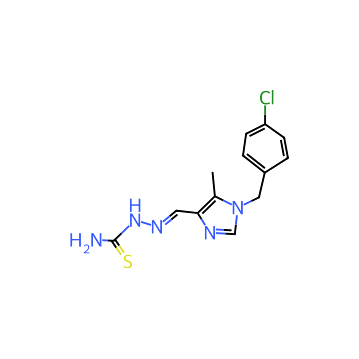 Cc1c(/C=N/NC(N)=S)ncn1Cc1ccc(Cl)cc1